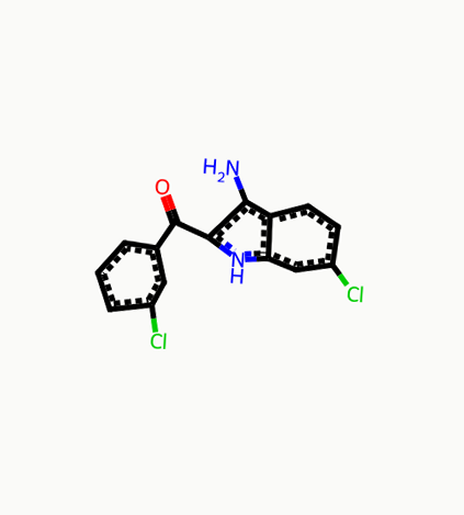 Nc1c(C(=O)c2cccc(Cl)c2)[nH]c2cc(Cl)ccc12